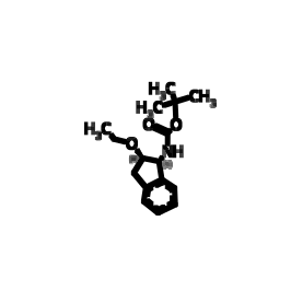 CCO[C@@H]1Cc2ccccc2[C@@H]1NC(=O)OC(C)(C)C